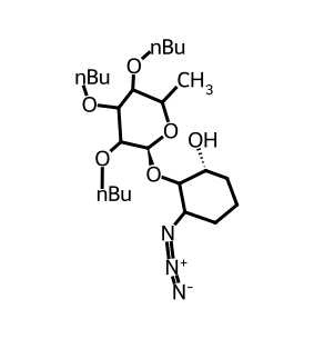 CCCCOC1C(C)O[C@@H](OC2C(N=[N+]=[N-])CCC[C@H]2O)C(OCCCC)C1OCCCC